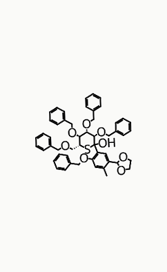 Cc1cc(OCc2ccccc2)c(C2(O)S[C@H](COCc3ccccc3)[C@@H](OCc3ccccc3)[C@H](OCc3ccccc3)[C@H]2OCc2ccccc2)cc1C1OCCO1